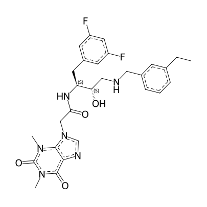 CCc1cccc(CNC[C@H](O)[C@H](Cc2cc(F)cc(F)c2)NC(=O)Cn2cnc3c(=O)n(C)c(=O)n(C)c32)c1